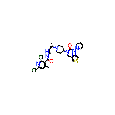 Cc1cc(Cl)nc(Cl)c1C(=O)NCC[C@@H](C)N1CCC(N(Cc2ccsc2)C(=O)NN2CCCC2)CC1